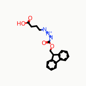 O=C(O)CCCN=[N+]=NC(=O)OCC1c2ccccc2-c2ccccc21